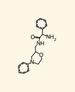 NC(C(=O)NCC1CN(c2ccccc2)CCO1)c1ccccc1